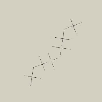 CCC(C)(C)CC(C)(CC)[Si](C)(C)O[Si](C)(C)C(C)(CC)CC(C)(C)CC